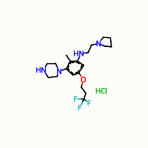 Cc1c(NCCN2CCCC2)cc(OCCC(F)(F)F)cc1N1CCNCC1.Cl